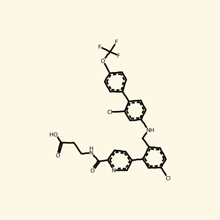 O=C(O)CCNC(=O)c1ccc(-c2cc(Cl)ccc2CNc2ccc(-c3ccc(OC(F)(F)F)cc3)c(Cl)c2)cn1